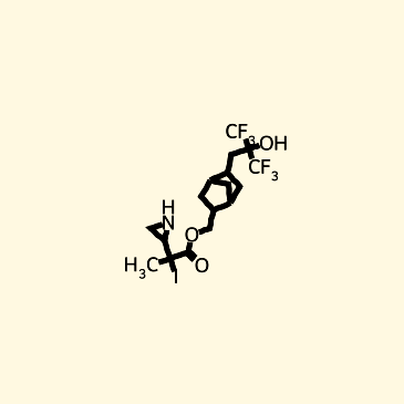 CC(I)(C(=O)OCC1CC2CC1CC2CC(O)(C(F)(F)F)C(F)(F)F)C1CN1